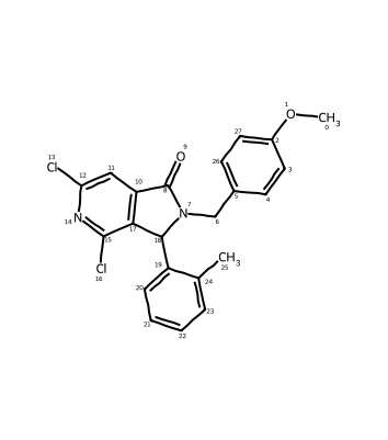 COc1ccc(CN2C(=O)c3cc(Cl)nc(Cl)c3C2c2ccccc2C)cc1